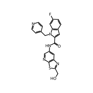 O=C(Nc1cnc2sc(CO)nc2c1)c1cc2ccc(F)cc2n1Cc1ccncc1